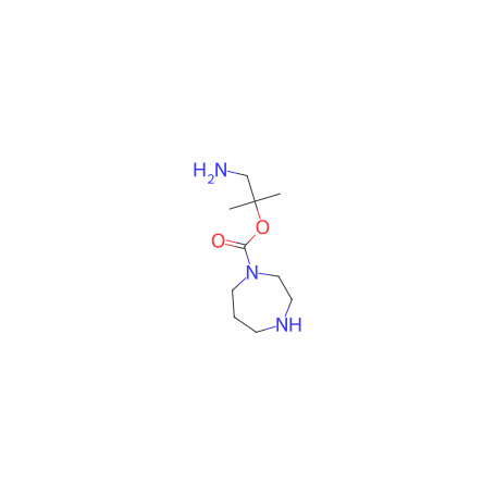 CC(C)(CN)OC(=O)N1CCCNCC1